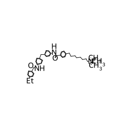 CCc1ccc(C(=O)Nc2ccc(Cc3ccc(NC(=O)c4ccc(CCCCCCCC[N+](C)(C)C)cc4)cc3)cc2)cc1